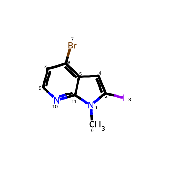 Cn1c(I)cc2c(Br)ccnc21